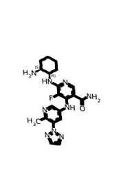 Cc1ncc(Nc2c(C(N)=O)cnc(N[C@@H]3CCCC[C@@H]3N)c2F)cc1-n1nccn1